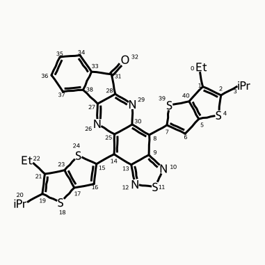 CCc1c(C(C)C)sc2cc(-c3c4nsnc4c(-c4cc5sc(C(C)C)c(CC)c5s4)c4nc5c(nc34)C(=O)c3ccccc3-5)sc12